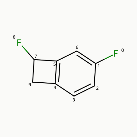 Fc1ccc2c(c1)C(F)C2